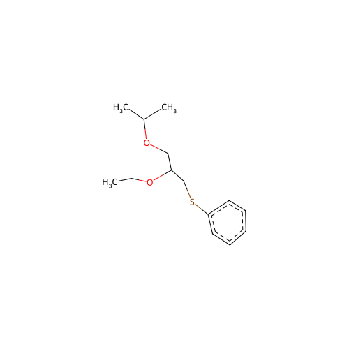 CCOC(COC(C)C)CSc1ccccc1